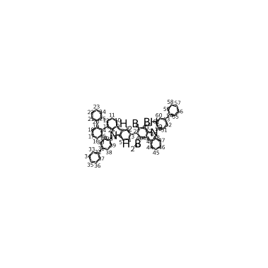 Bc1c(-c2ccc3c(c2)c2cccc(-c4ccccc4-c4ccccc4)c2n3-c2ccc(-c3ccccc3)cc2)c(B)c2c3ccccc3n(-c3ccc(-c4ccccc4)cc3)c2c1B